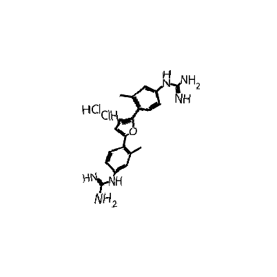 Cc1cc(NC(=N)N)ccc1-c1ccc(-c2ccc(NC(=N)N)cc2C)o1.Cl.Cl